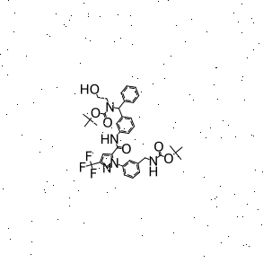 CC(C)(C)OC(=O)NCc1cccc(-n2nc(C(F)(F)F)cc2C(=O)Nc2cccc(C(c3ccccc3)N(CCO)C(=O)OC(C)(C)C)c2)c1